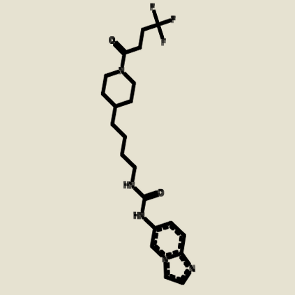 O=C(NCCCCC1CCN(C(=O)CCC(F)(F)F)CC1)Nc1ccc2nccn2c1